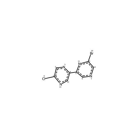 Clc1cnc(-c2[c]ncc(Br)n2)cn1